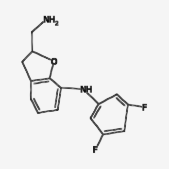 NCC1Cc2cccc(Nc3cc(F)cc(F)c3)c2O1